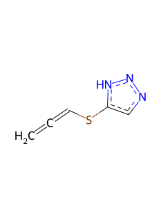 C=C=CSc1cnn[nH]1